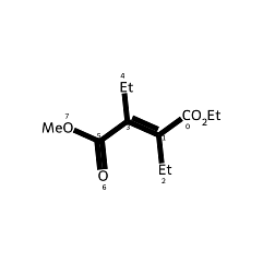 CCOC(=O)/C(CC)=C(\CC)C(=O)OC